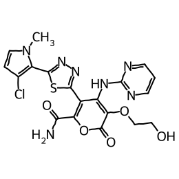 Cn1ccc(Cl)c1-c1nnc(-c2c(C(N)=O)oc(=O)c(OCCO)c2Nc2ncccn2)s1